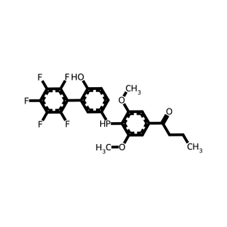 CCCC(=O)c1cc(OC)c(Pc2ccc(O)c(-c3c(F)c(F)c(F)c(F)c3F)c2)c(OC)c1